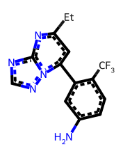 CCc1cc(-c2cc(N)ccc2C(F)(F)F)n2ncnc2n1